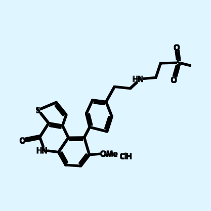 COc1ccc2[nH]c(=O)c3sccc3c2c1-c1ccc(CCNCCS(C)(=O)=O)cc1.Cl